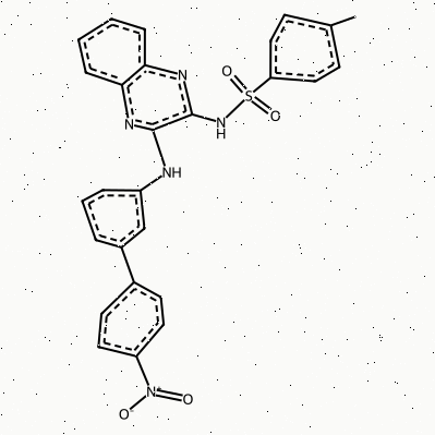 Cc1ccc(S(=O)(=O)Nc2nc3ccccc3nc2Nc2cccc(-c3ccc([N+](=O)[O-])cc3)c2)cc1